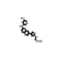 CC(C)c1cnnc(Nc2ccc3ncc(-c4cnn(CCC=O)c4)cc3n2)c1